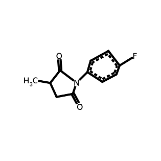 CC1CC(=O)N(c2ccc(F)cc2)C1=O